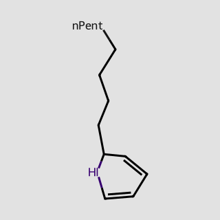 CCCCCCCCCC1C=CC=C[IH]1